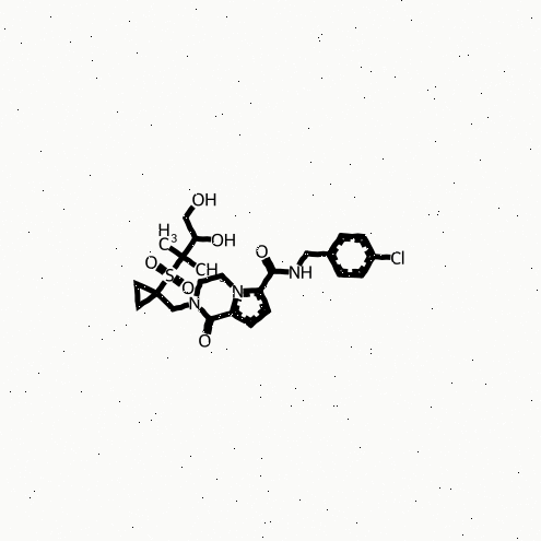 CC(C)(C(O)CO)S(=O)(=O)C1(CN2CCn3c(C(=O)NCc4ccc(Cl)cc4)ccc3C2=O)CC1